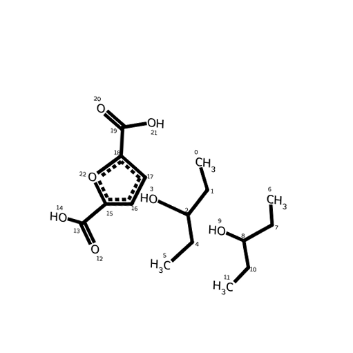 CCC(O)CC.CCC(O)CC.O=C(O)c1ccc(C(=O)O)o1